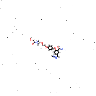 COCC(=O)N1CC(OCCOc2ccc(Oc3cc4c(cnn4C)cc3C(N)=O)cc2)C1